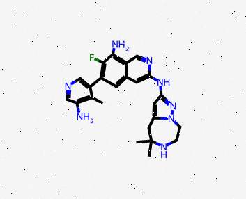 Cc1c(N)cncc1-c1cc2cc(Nc3cc4n(n3)CCNC(C)(C)C4)ncc2c(N)c1F